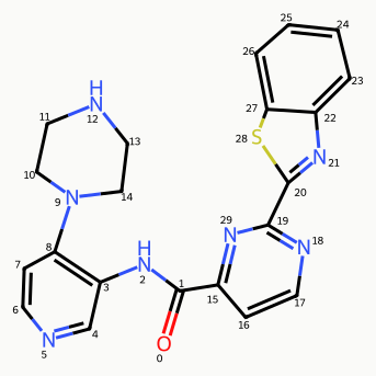 O=C(Nc1cnccc1N1CCNCC1)c1ccnc(-c2nc3ccccc3s2)n1